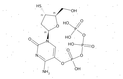 Nc1nc(=O)n([C@H]2C[C@H](S)[C@@H](CO)O2)cc1OP(=O)(O)OP(=O)(O)OP(=O)(O)O